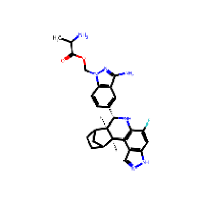 CC(N)C(=O)OCn1nc(N)c2cc([C@@H]3Nc4c(F)cc5[nH]ncc5c4[C@H]4C5CCC(C5)[C@@H]34)ccc21